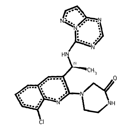 C[C@H](Nc1ncnc2ccnn12)c1cc2cccc(Cl)c2nc1N1CCNC(=O)C1